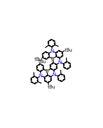 Cc1ccccc1N1c2cc3c(cc2B2c4cc(C(C)(C)C)ccc4N(c4c(C)cccc4C)c4cc(C(C)(C)C)cc1c42)B1c2cc(C(C)(C)C)ccc2N(c2c(C)cccc2C)c2cc(C(C)(C)C)cc(c21)N3c1ccccc1C